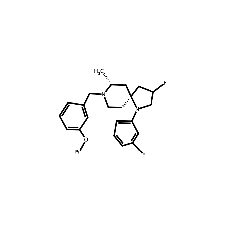 CC(C)Oc1cccc(CN2CC[C@@]3(CC(F)CN3c3cccc(F)c3)C[C@H]2C)c1